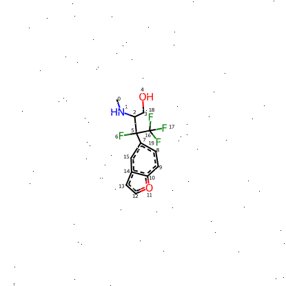 CNC(CO)C(F)(c1ccc2occc2c1)C(F)(F)F